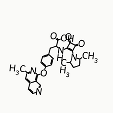 Cc1cc2ccncc2c(Oc2ccc(CC(Nc3c(N4C(C)CCC4C)c(=O)c3=O)C(=O)O)cc2)n1